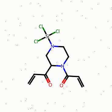 C=CC(=O)C1CN([Si](Cl)(Cl)Cl)CCN1C(=O)C=C